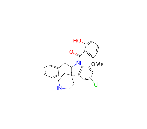 COc1cccc(O)c1C(=O)NC(Cc1ccccc1)C1(c2cccc(Cl)c2)CCNCC1